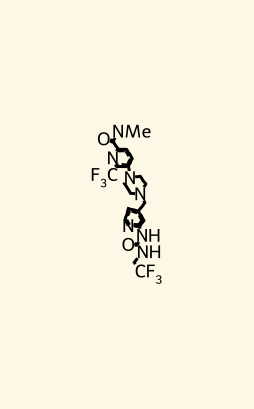 CNC(=O)c1ccc(N2CCN(Cc3ccnc(NC(=O)NCC(F)(F)F)c3)CC2)c(C(F)(F)F)n1